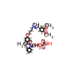 COc1ccc(CCN(C)CCCCOc2ccc(C3(C)Sc4ccccc4N(C)C3=O)cc2)cc1OC.O=C(O)C(=O)O